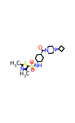 Cc1nc(C)c(S(=O)(=O)N[C@H]2CC[C@H](C(=O)N3CCN(C4CCC4)CC3)CC2)s1